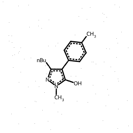 CCCCc1nn(C)c(O)c1-c1ccc(C)cc1